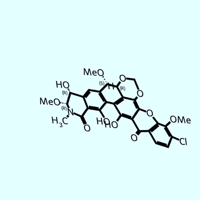 COc1c(Cl)ccc2c(=O)c3c(O)c4c5c(c3oc12)OCO[C@H]5[C@@H](OC)c1cc2c(c(O)c1-4)C(=O)N(C)[C@H](OC)[C@@H]2O